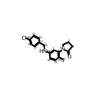 O=C1CCCN1c1cc(NCc2ccc(Cl)cc2)ccc1F